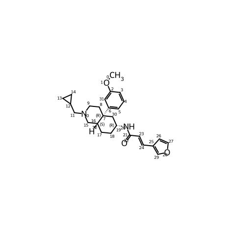 COc1cccc([C@@]23CCN(CC4CC4)C[C@H]2CC[C@@H](NC(=O)C=Cc2ccoc2)C3)c1